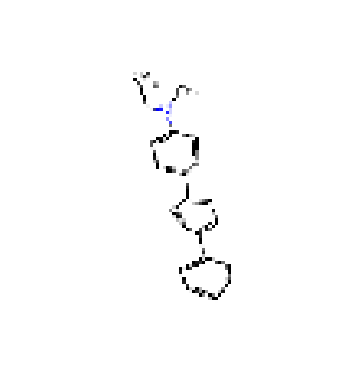 CCN(C)c1ccc(-c2ccc(-c3ccccc3)cc2)cc1